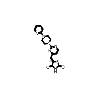 O=C1NC(=O)/C(=C/c2ccnc(N3CCN(c4ccccn4)CC3)n2)S1